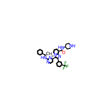 C[C@H](Nc1nccc(-c2c(-c3cccc(C(F)(F)F)c3)nc3c(C(=O)NC4CCNCC4)cccn23)n1)c1ccccc1